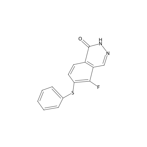 O=c1[nH]ncc2c(F)c(Sc3ccccc3)ccc12